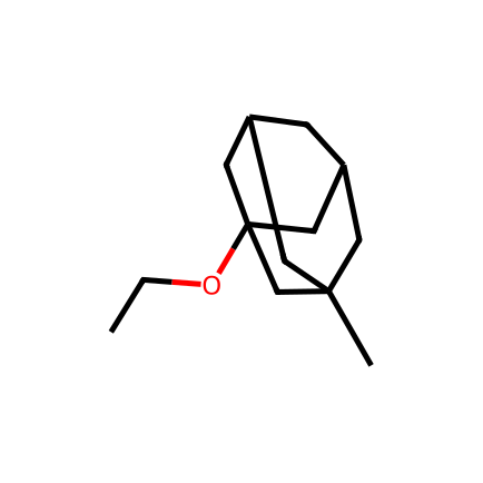 CCOC12CC3CC(CC(C)(C3)C1)C2